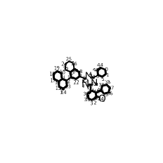 c1ccc(-c2nc(-c3cc4c(c(-c5cccc6ccccc56)c3)CCCC4)nc(-c3cccc4oc5ccccc5c34)n2)cc1